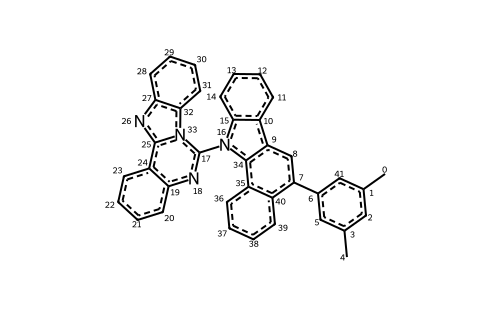 Cc1cc(C)cc(-c2cc3c4ccccc4n(-c4nc5ccccc5c5nc6ccccc6n45)c3c3ccccc23)c1